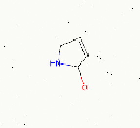 [O]C1C=CCN1